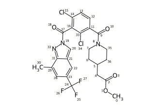 COC(=O)CC1CCN(C(=O)c2ccc(Cl)c(C(=O)n3cc4cc(C(F)(F)F)cc(C)c4n3)c2Cl)CC1